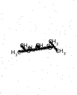 CCCCCC(CCCCC)CCOC(=O)CCCCCCCC(CCCCCCCC(=O)OCCC(CCCCC)CCCCC)CN(C)C